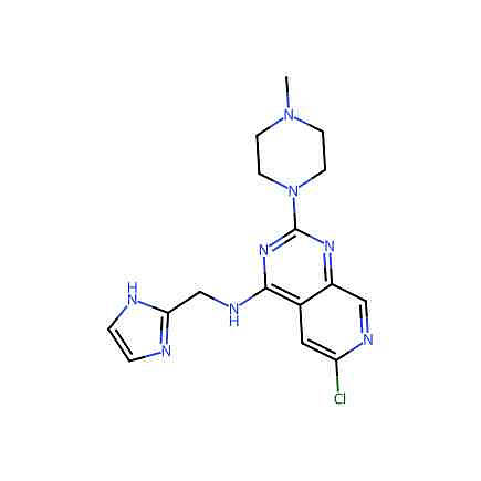 CN1CCN(c2nc(NCc3ncc[nH]3)c3cc(Cl)ncc3n2)CC1